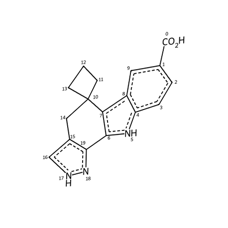 O=C(O)c1ccc2[nH]c3c(c2c1)C1(CCC1)Cc1c[nH]nc1-3